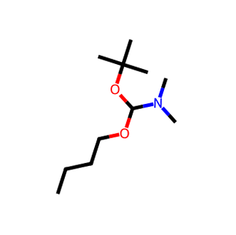 CCCCOC(OC(C)(C)C)N(C)C